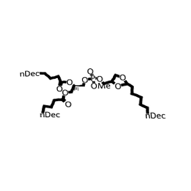 CCCCCCCCCCCCCCCC1OCC(COP(=O)(OC)OC[C@@H](COC(=O)CCCCCCCCCCCCC)OC(=O)CCCCCCCCCCCCC)O1